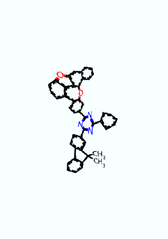 CC1(C)c2ccccc2-c2ccc(-c3nc(-c4ccccc4)nc(-c4ccc5c(c4)oc4c6ccccc6cc6oc7cccc5c7c64)n3)cc21